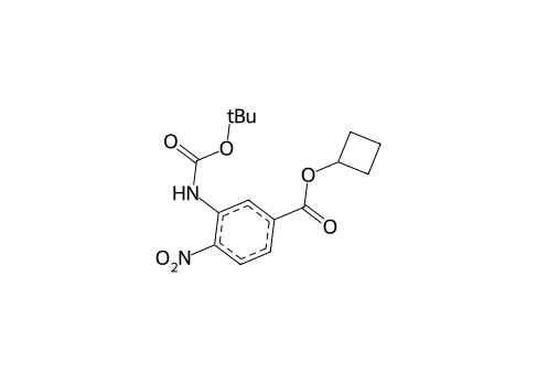 CC(C)(C)OC(=O)Nc1cc(C(=O)OC2CCC2)ccc1[N+](=O)[O-]